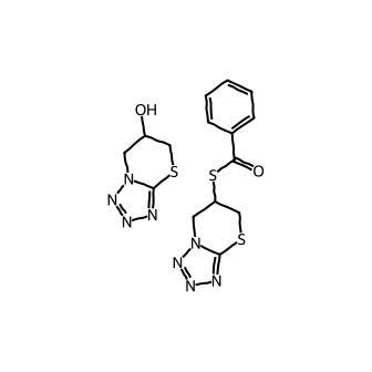 O=C(SC1CSc2nnnn2C1)c1ccccc1.OC1CSc2nnnn2C1